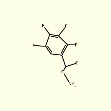 NOC(F)c1cc(F)c(F)c(F)c1F